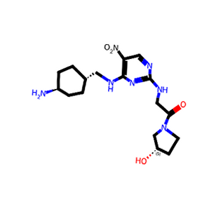 N[C@H]1CC[C@H](CNc2nc(NCC(=O)N3CC[C@H](O)C3)ncc2[N+](=O)[O-])CC1